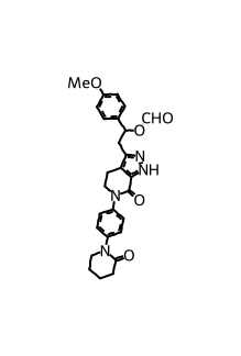 COc1ccc(C(Cc2n[nH]c3c2CCN(c2ccc(N4CCCCC4=O)cc2)C3=O)OC=O)cc1